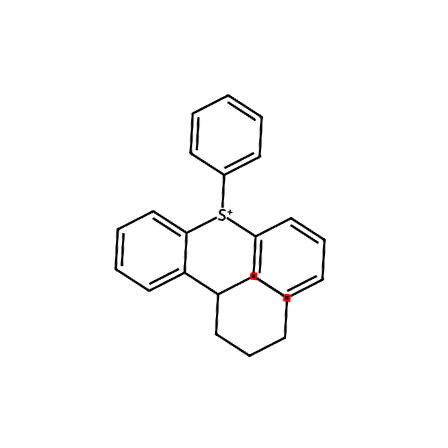 c1ccc([S+](c2ccccc2)c2ccccc2C2CCCCC2)cc1